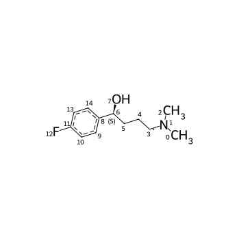 CN(C)[CH]CC[C@H](O)c1ccc(F)cc1